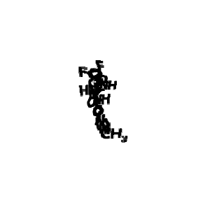 CN1CCN(c2ccc(C(=O)Nc3n[nH]c4c3CNC4S(=O)(=O)c3cc(F)cc(F)c3)cc2)CC1